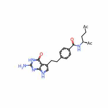 CC(=O)CC[C@H](NC(=O)c1ccc(CCc2c[nH]c3nc(N)[nH]c(=O)c23)cc1)C(C)=O